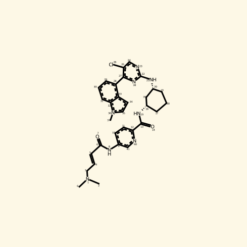 CN(C)C/C=C/C(=O)Nc1ccc(C(=O)N[C@H]2CCC[C@@H](Nc3ncc(Cl)c(-c4cccc5c4ccn5C)n3)C2)nc1